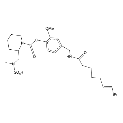 COc1cc(CNC(=O)CCCC/C=C/C(C)C)ccc1OC(=O)N1CCCCC1CN(C)S(=O)(=O)O